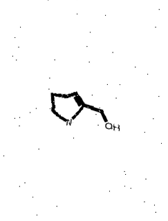 OCC1=CCC[N]1